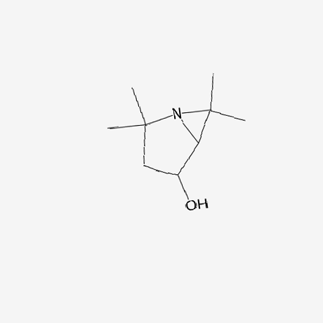 CC1(C)CC(O)C2N1C2(C)C